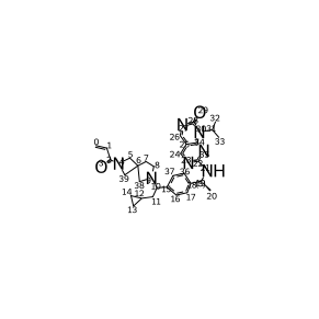 C=CC(=O)N1CC2(CCN(C(CC3CC3)c3ccc([C@H](C)Nc4ncc5cnc(=O)n(C(C)C)c5n4)cc3)C2)C1